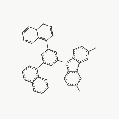 Brc1ccc2c(c1)c1cc(Br)ccc1n2-c1cc(C2=C3C=CC=CC3CC=C2)cc(-c2cccc3ccccc23)c1